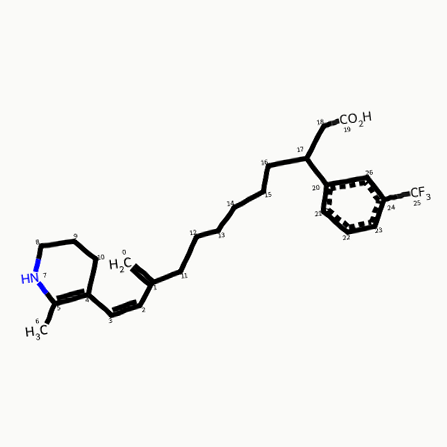 C=C(/C=C\C1=C(C)NCCC1)CCCCCCC(CC(=O)O)c1cccc(C(F)(F)F)c1